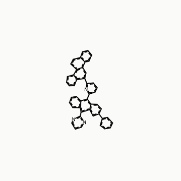 c1ccc(-c2ccc3c(-c4cccc(-c5cc6c7ccccc7ccc6c6ccccc56)n4)c4ccccc4c(-c4ncccn4)c3c2)cc1